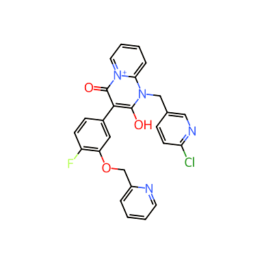 O=c1c(-c2ccc(F)c(OCc3ccccn3)c2)c(O)n(Cc2ccc(Cl)nc2)c2cccc[n+]12